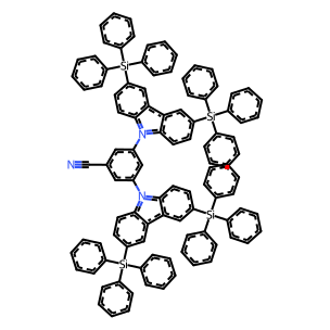 N#Cc1cc(-n2c3ccc([Si](c4ccccc4)(c4ccccc4)c4ccccc4)cc3c3cc([Si](c4ccccc4)(c4ccccc4)c4ccccc4)ccc32)cc(-n2c3ccc([Si](c4ccccc4)(c4ccccc4)c4ccccc4)cc3c3cc([Si](c4ccccc4)(c4ccccc4)c4ccccc4)ccc32)c1